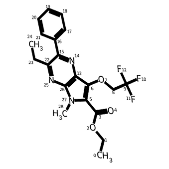 CCOC(=O)c1c(OCC(F)(F)F)c2nc(-c3ccccc3)c(CC)nc2n1C